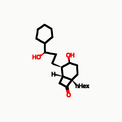 CCCCCC[C@@]12CC[C@H](O)[C@@H](CC[C@H](O)C3CCCCC3)[C@@H]1CC2=O